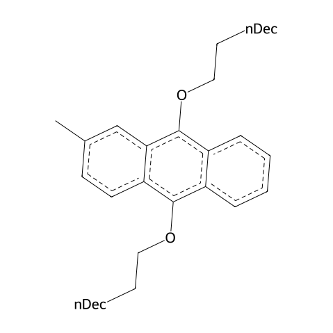 CCCCCCCCCCCCOc1c2ccccc2c(OCCCCCCCCCCCC)c2cc(C)ccc12